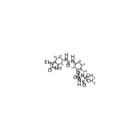 CCn1c(=O)[nH]c2cc(NC(=O)Nc3ccc(CN4C(C)(C)C(=O)NS4(=O)=O)cc3)ccc21